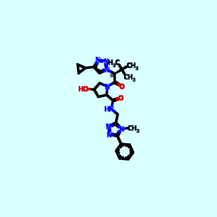 Cn1c(CNC(=O)C2CC(O)CN2C(=O)[C@@H](n2cc(C3CC3)nn2)C(C)(C)C)nnc1-c1ccccc1